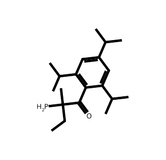 CCC(C)(P)C(=O)c1c(C(C)C)cc(C(C)C)cc1C(C)C